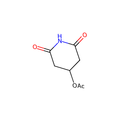 CC(=O)OC1CC(=O)NC(=O)C1